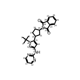 CC(C)(C)n1nc(Nc2ncccn2)cc1C1CCC(N2C(=O)c3ccccc3C2=O)C1